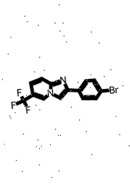 FC(F)(F)c1ccc2nc(-c3ccc(Br)cc3)cn2c1